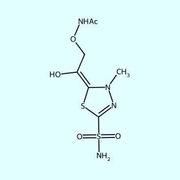 CC(=O)NOCC(O)=C1SC(S(N)(=O)=O)=NN1C